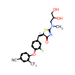 CN(CC(O)CO)C1=NC(=O)/C(=C\c2ccc(Oc3ccc(C#N)cc3C(F)(F)F)c(F)c2)S1